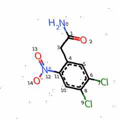 NC(=O)Cc1cc(Cl)c(Cl)cc1[N+](=O)[O-]